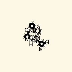 CN1CCN(c2nc(Nc3cc(C(=O)Nc4ccccc4)ccn3)nc(-c3cc(F)cc(Cl)c3)n2)CC1